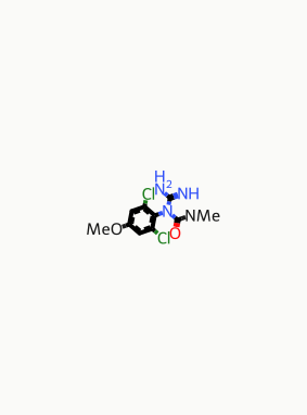 CNC(=O)N(C(=N)N)c1c(Cl)cc(OC)cc1Cl